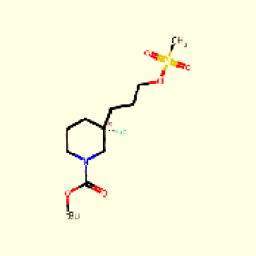 CC(C)(C)OC(=O)N1CCC[C@@](F)(CCCOS(C)(=O)=O)C1